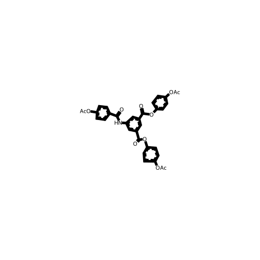 CC(=O)Oc1ccc(OC(=O)c2cc(NC(=O)c3ccc(OC(C)=O)cc3)cc(C(=O)Oc3ccc(OC(C)=O)cc3)c2)cc1